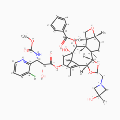 CCC1(O)CN(C[C@@H]2O[C@@H]3C4=C(C)[C@@H](OC(=O)[C@H](O)[C@@H](NC(=O)OC(C)(C)C)c5ncccc5F)C[C@@](O)([C@@H](OC(=O)c5ccccc5)[C@H]5[C@@](C)(CC[C@H]6OC[C@]65OC(C)=O)[C@@H]3O2)C4(C)C)C1